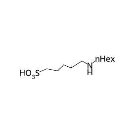 CCCCCCNCCCCCS(=O)(=O)O